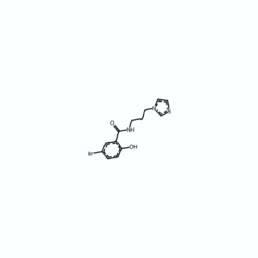 O=C(NCCCn1ccnc1)c1cc(Br)ccc1O